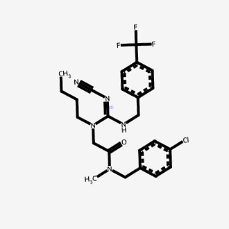 CCCCN(CC(=O)N(C)Cc1ccc(Cl)cc1)/C(=N\C#N)NCc1ccc(C(F)(F)F)cc1